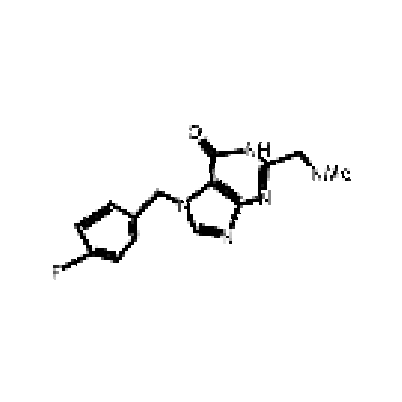 CNCc1nc2ncn(Cc3ccc(F)cc3)c2c(=O)[nH]1